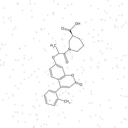 Cc1ccccc1-c1cc(=O)oc2cc(OC(C)C(=O)N3CCC[C@H](C(=O)O)C3)ccc12